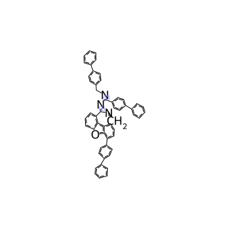 C=N/C(=N\C(=N/Cc1ccc(-c2ccccc2)cc1)c1ccc(-c2ccccc2)cc1)c1cccc2oc3c(-c4ccc(-c5ccccc5)cc4)cccc3c12